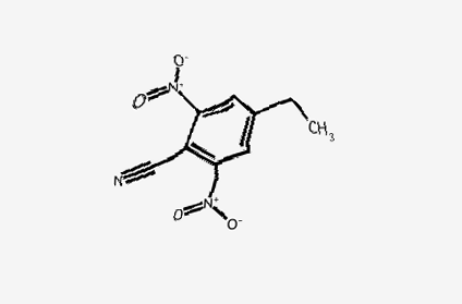 CCc1cc([N+](=O)[O-])c(C#N)c([N+](=O)[O-])c1